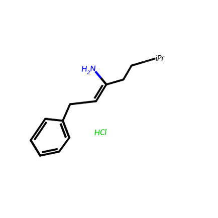 CC(C)CCC(N)=CCc1ccccc1.Cl